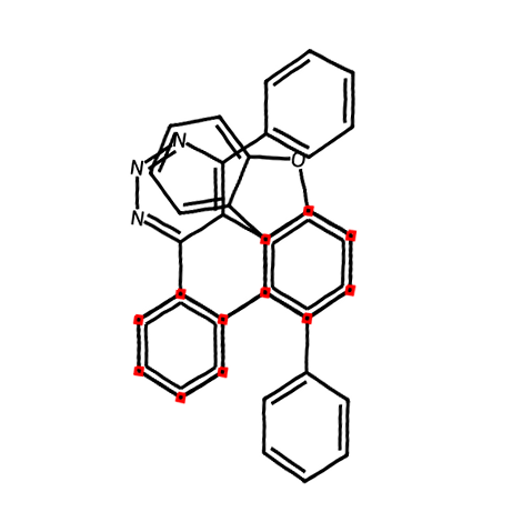 c1ccc(-c2ccccc2-c2c(-c3ccccc3)nnnc2-c2ccccc2-c2c(-c3ccccc3)ccc3oc4ccccc4c23)cc1